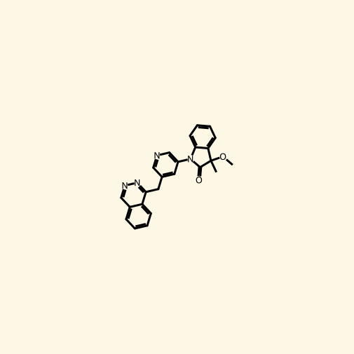 COC1(C)C(=O)N(c2cncc(Cc3nncc4ccccc34)c2)c2ccccc21